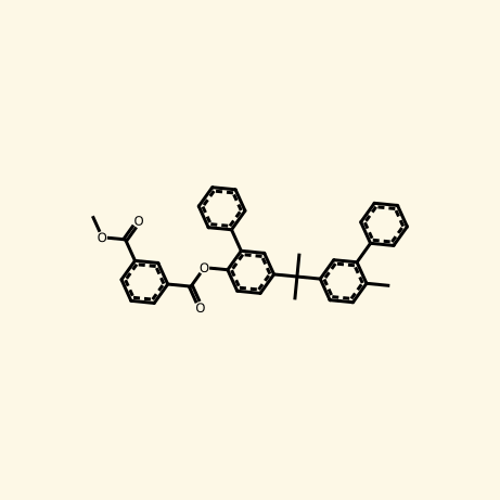 COC(=O)c1cccc(C(=O)Oc2ccc(C(C)(C)c3ccc(C)c(-c4ccccc4)c3)cc2-c2ccccc2)c1